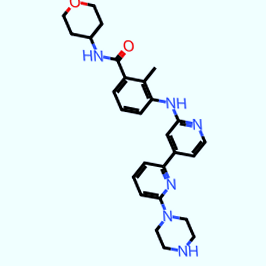 Cc1c(Nc2cc(-c3cccc(N4CCNCC4)n3)ccn2)cccc1C(=O)NC1CCOCC1